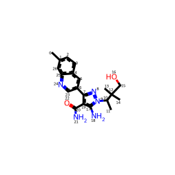 Cc1ccc2cc(-c3nn(C(C)C(C)(C)CO)c(N)c3C(N)=O)cnc2c1